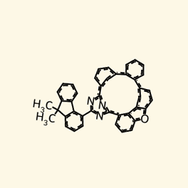 CC1(C)c2ccccc2-c2c(-c3nc4nc(n3)c3cccc5oc6ccc(cc6c53)c3ccccc3c3cccc4c3)cccc21